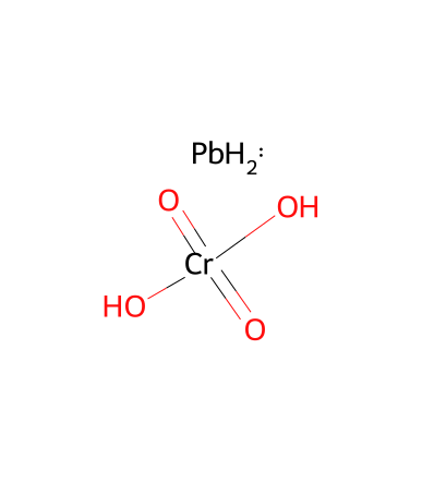 [O]=[Cr](=[O])([OH])[OH].[PbH2]